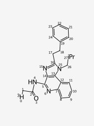 [3H]CC(=O)Nc1nc2ccccc2c2c1nc(CCc1ccccc1)n2CC(C)C